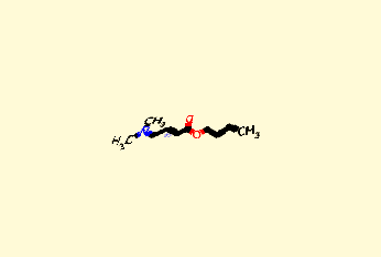 CCCCOC(=O)/C=C/CN(C)C